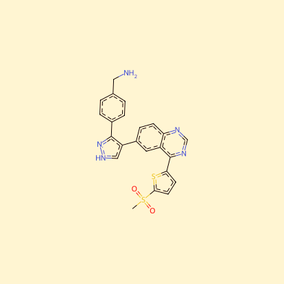 CS(=O)(=O)c1ccc(-c2ncnc3ccc(-c4c[nH]nc4-c4ccc(CN)cc4)cc23)s1